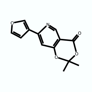 CC1(C)OC(=O)c2cnc(-c3ccoc3)cc2O1